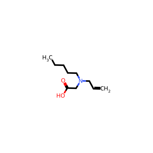 C=CCN(CCCCC)CC(=O)O